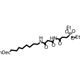 CCCCCCCCCCCCCCCCCCNC(=O)CC(=O)NC(=O)CCP(=O)(OCC)OCC